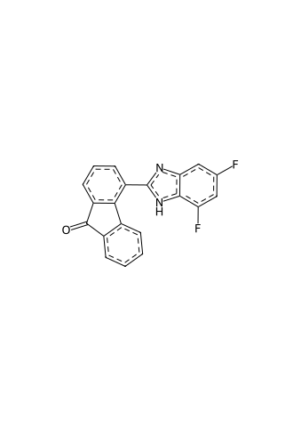 O=C1c2ccccc2-c2c1cccc2-c1nc2cc(F)cc(F)c2[nH]1